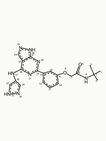 CC(C)(C)NC(=O)COc1cccc(-c2nc(Nc3cn[nH]c3)c3cn[nH]c3n2)c1